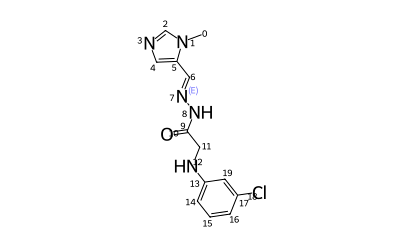 Cn1cncc1/C=N/NC(=O)CNc1cccc(Cl)c1